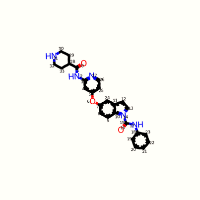 O=C(Nc1cc(Oc2ccc3c(ccn3C(=O)Nc3ccccc3)c2)ccn1)C1CCNCC1